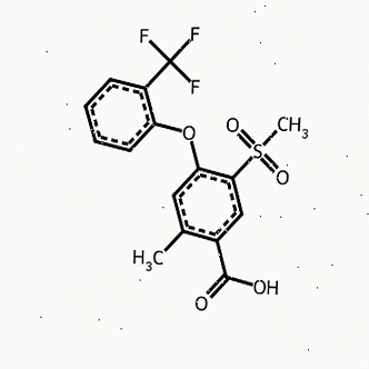 Cc1cc(Oc2ccccc2C(F)(F)F)c(S(C)(=O)=O)cc1C(=O)O